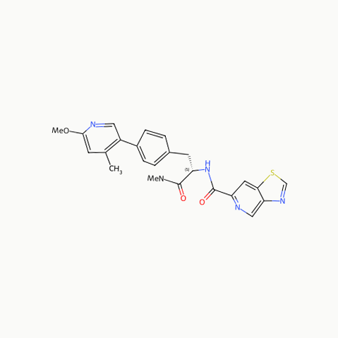 CNC(=O)[C@H](Cc1ccc(-c2cnc(OC)cc2C)cc1)NC(=O)c1cc2scnc2cn1